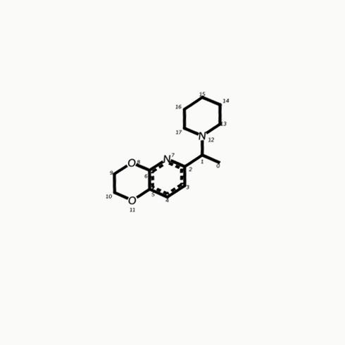 CC(c1ccc2c(n1)OCCO2)N1CCCCC1